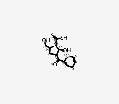 O=C(C1=CCC=CO1)C1CC(CO)N(C(=S)S)C1O